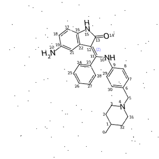 CC1CCN(Cc2ccc(N/C(=C3\C(=O)Nc4ccc(N)cc43)c3ccccc3)cc2)CC1